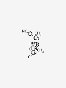 Cc1cnc(C(=O)N[C@H]2COc3cc(Cl)cnc3N(C)C2=O)nc1-c1ccc(C#N)cc1